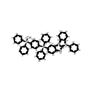 CS(c1ccccc1)(c1ccccc1)c1ccc(S(c2ccccc2)(c2ccccc2)c2ccc3nc4n(-c5ccccc5)c5ccccc5n4c3c2)cc1